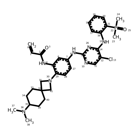 C=CC(=O)Nc1cc(Nc2ncc(Cl)c(Nc3ccccc3P(C)(C)=O)n2)ccc1N1CC2(CCC(N(C)C)CC2)C1